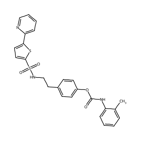 Cc1ccccc1NC(=O)Oc1ccc(CCNS(=O)(=O)c2ccc(-c3ccccn3)s2)cc1